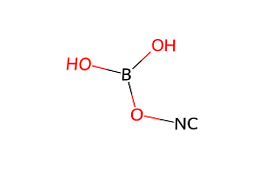 [C-]#[N+]OB(O)O